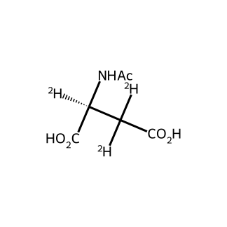 [2H]C([2H])(C(=O)O)[C@]([2H])(NC(C)=O)C(=O)O